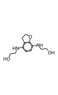 OCCNc1ccc(NCCO)c2c1CCO2